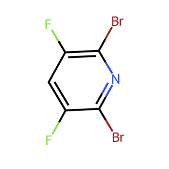 Fc1cc(F)c(Br)nc1Br